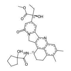 CC[C@@](O)(C(=O)OC)c1cc2n(c(=O)c1)Cc1c-2nc2cc(C)c(C)c3c2c1[C@@H](NC(=O)C1(O)CCCC1)CC3